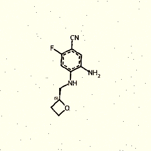 N#Cc1cc(N)c(NC[C@@H]2CCO2)cc1F